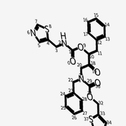 O=C(NCc1cncs1)OC(Cc1ccccc1)C(=O)CN(Cc1ccccc1)C(=O)OCc1cncs1